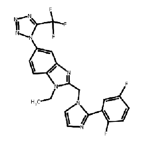 CCn1c(Cn2ccnc2-c2cc(F)ccc2F)nc2cc(-n3nnnc3C(F)(F)F)ccc21